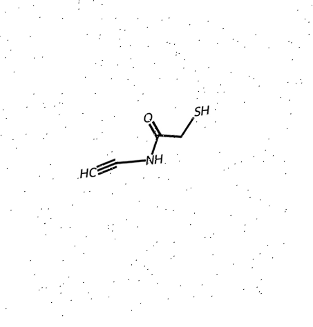 C#CNC(=O)CS